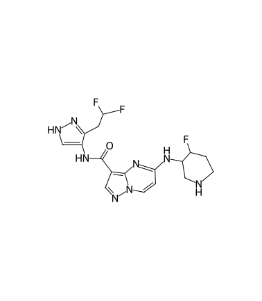 O=C(Nc1c[nH]nc1CC(F)F)c1cnn2ccc(NC3CNCCC3F)nc12